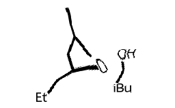 CCC(C)O.CCC1OC1C